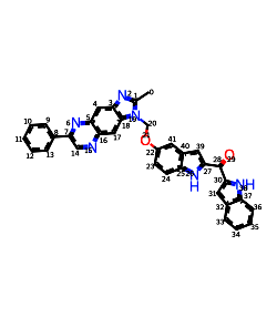 Cc1nc2cc3nc(-c4ccccc4)cnc3cc2n1COc1ccc2[nH]c(C(=O)c3cc4ccccc4[nH]3)cc2c1